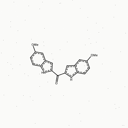 COc1ccc2[nH]c(C(=O)c3cc4cc(OC)ccc4[nH]3)cc2c1